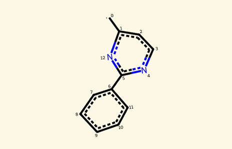 [CH2]c1ccnc(-c2ccccc2)n1